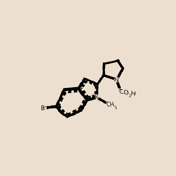 Cn1c(C2CCCN2C(=O)O)cc2cc(Br)ccc21